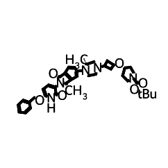 CC1c2cc(N3CCN(C4CC(OC5CCN(C(=O)OC(C)(C)C)CC5)C4)C[C@H]3C)ccc2C(=O)N1c1ccc(OCc2ccccc2)[nH]c1=O